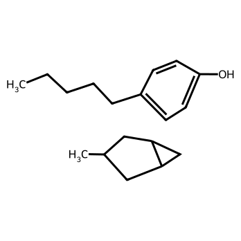 CC1CC2CC2C1.CCCCCc1ccc(O)cc1